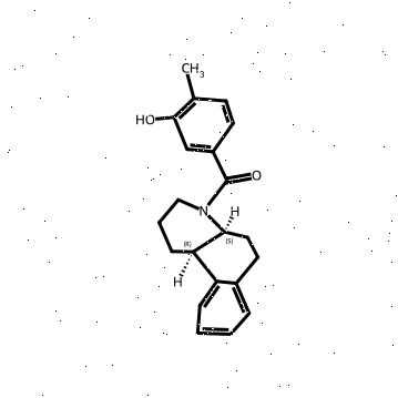 Cc1ccc(C(=O)N2CCC[C@@H]3c4ccccc4CC[C@@H]32)cc1O